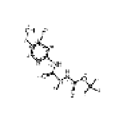 C[C@H](NC(=O)OC(C)(C)C)C(=O)Nc1ccc(CO)c(F)c1